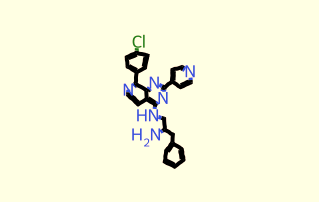 NC(CNc1nc(-c2ccncc2)nc2c(-c3ccc(Cl)cc3)nccc12)Cc1ccccc1